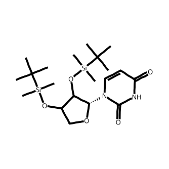 CC(C)(C)[Si](C)(C)OC1CO[C@@H](n2ccc(=O)[nH]c2=O)C1O[Si](C)(C)C(C)(C)C